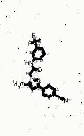 Cc1cc(-c2ccc(C#N)cc2)nn1CC(=O)Nc1cccc(C(F)(F)F)c1